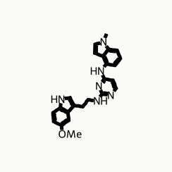 COc1ccc2[nH]cc(CCNc3nccc(Nc4cccc5c4ccn5C)n3)c2c1